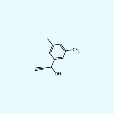 C#CC(O)c1cc(C)cc(C(F)(F)F)c1